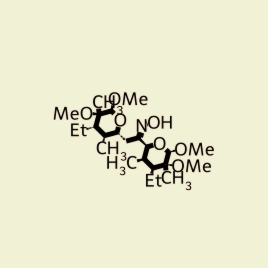 CC[C@H]1[C@@H](C)[C@@H](/C(C[C@H]2O[C@H](OC)[C@](C)(OC)[C@@H](CC)[C@H]2C)=N\O)O[C@H](OC)[C@]1(C)OC